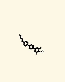 CCCCCc1ccc(-c2ccc(-c3cc(F)c(N=S)c(F)c3)cc2)cc1